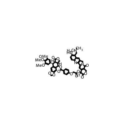 CCC1(OC(=O)COc2ccc(C(=O)OC3c4cc5c(cc4[C@@H](c4cc(OC)c(OC)c(OC)c4)[C@H]4C(=O)OC[C@H]34)OCO5)cc2)C(=O)OCc2c1cc1n(c2=O)Cc2cc3c(CN(C)C)c(O)ccc3nc2-1